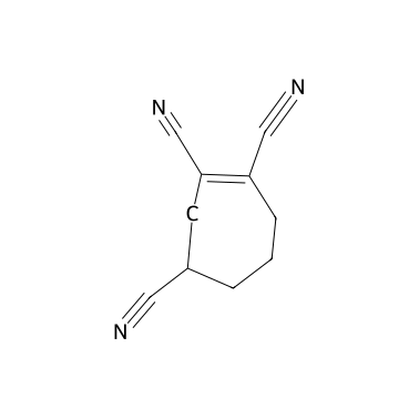 N#CC1=C(C#N)CC(C#N)CCC1